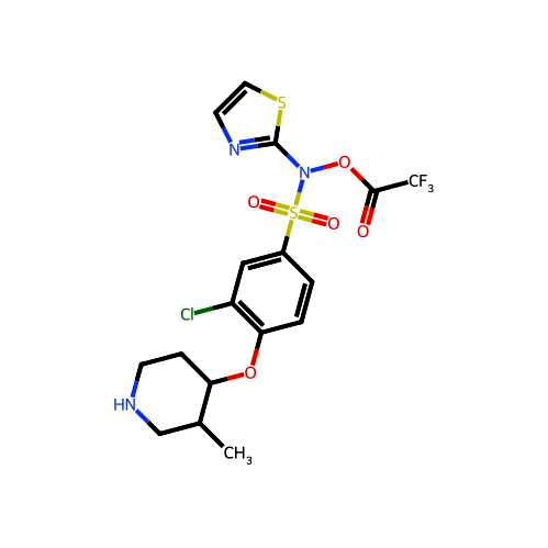 CC1CNCCC1Oc1ccc(S(=O)(=O)N(OC(=O)C(F)(F)F)c2nccs2)cc1Cl